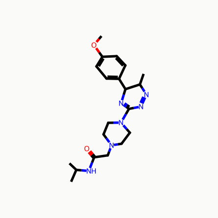 COc1ccc(C2N=C(N3CCN(CC(=O)NC(C)C)CC3)N=NC2C)cc1